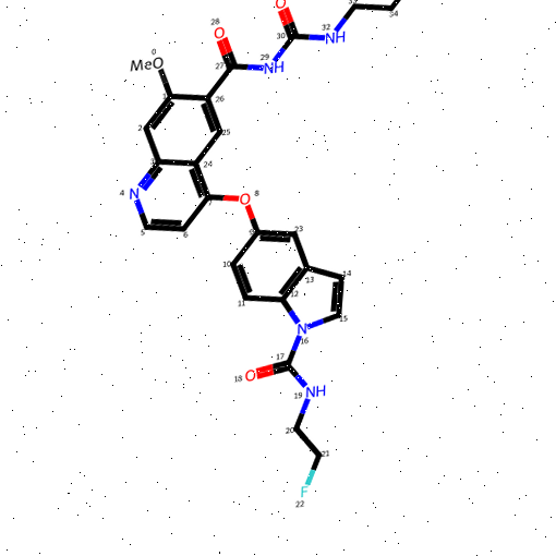 COc1cc2nccc(Oc3ccc4c(ccn4C(=O)NCCF)c3)c2cc1C(=O)NC(=O)NCCF